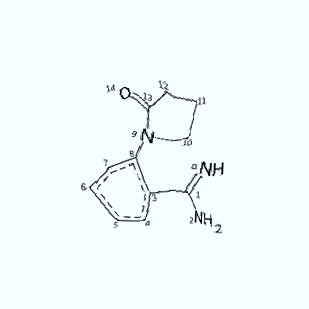 N=C(N)c1ccccc1N1CCCC1=O